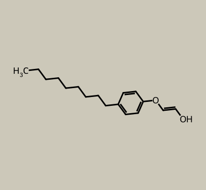 CCCCCCCCCc1ccc(OC=CO)cc1